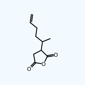 C=CCCC(C)C1CC(=O)OC1=O